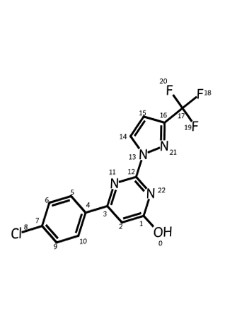 Oc1cc(-c2ccc(Cl)cc2)nc(-n2ccc(C(F)(F)F)n2)n1